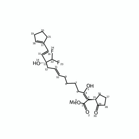 COC(=O)C(=C(O)CCCC/C=C/C[C@@](O)(/C=C/C1=CCCC1)C(F)F)[C@H]1CCCC1=O